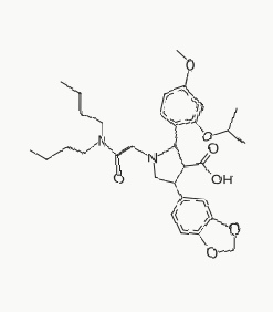 CCCCN(CCCC)C(=O)CN1CC(c2ccc3c(c2)OCO3)C(C(=O)O)C1c1ccc(OC)cc1OC(C)C